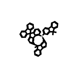 CC1(C)c2ccccc2-c2ccc(N3c4ccc5c(c4)C(C)(c4ccc6c(c4)-c4c3cccc4C63c4ccccc4-c4ccccc43)c3ccccc3-5)cc21